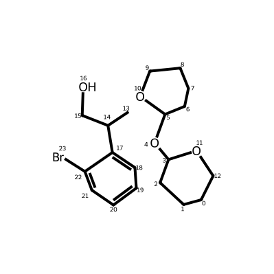 C1CCC(OC2CCCCO2)OC1.CC(CO)c1ccccc1Br